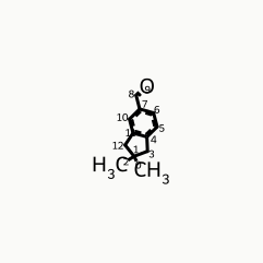 CC1(C)Cc2ccc(C=O)cc2C1